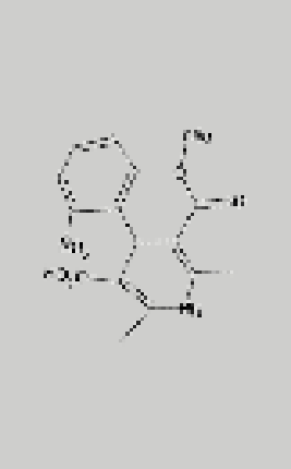 CCCCOC(=O)C1=C(C)NC(C)=C(C(=O)O)C1c1ccccc1[N+](=O)[O-]